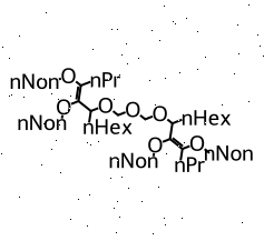 CCCCCCCCCOC(CCC)=C(OCCCCCCCCC)C(CCCCCC)OCOCOC(CCCCCC)C(OCCCCCCCCC)=C(CCC)OCCCCCCCCC